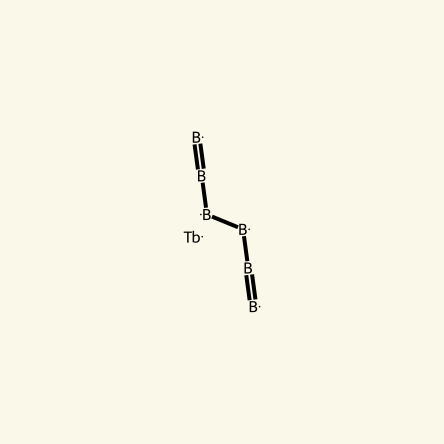 [B]=B[B][B]B=[B].[Tb]